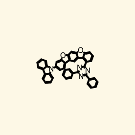 c1ccc(-c2nc(-c3ccccc3)nc(-c3cccc4oc5cc6oc7cc(-n8c9ccccc9c9ccccc98)ccc7c6cc5c34)n2)cc1